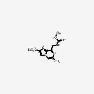 CCOC(=O)c1cn2cc(C)nc(CNC(=O)OC(C)(C)C)c2n1